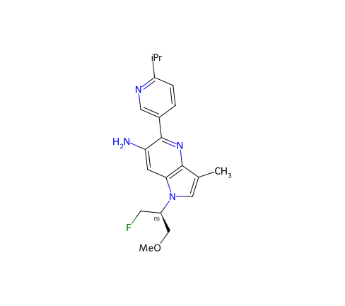 COC[C@@H](CF)n1cc(C)c2nc(-c3ccc(C(C)C)nc3)c(N)cc21